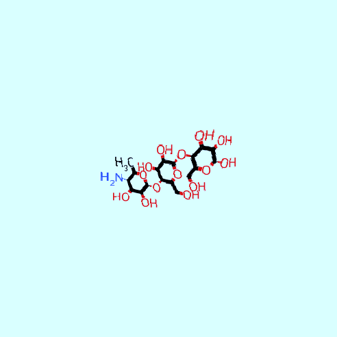 CC1O[C@H](O[C@@H]2C(CO)O[C@H](O[C@@H]3C(CO)O[C@@H](O)C(O)C3O)C(O)C2O)C(O)C(O)[C@@H]1N